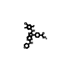 Cc1cc(Nc2nc3cnc(NC4CCOCC4)nc3n2C2CCC(C(N)=O)CC2)c(F)cc1Cl